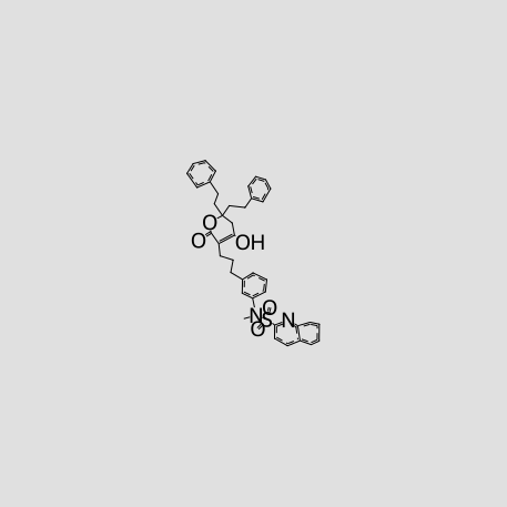 CN(c1cccc(CCCC2=C(O)CC(CCc3ccccc3)(CCc3ccccc3)OC2=O)c1)S(=O)(=O)c1ccc2ccccc2n1